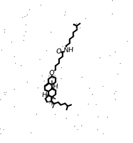 CC(C)CCCCCCNC(=O)CCCCCO[C@H]1CC[C@@]2(C)C(=CCC3[C@@H]4CC[C@H]([C@H](C)CCCC(C)C)[C@@]4(C)CC[C@@H]32)C1